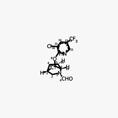 O=CN1C[C@@H]2CC[C@H]1[C@H](Oc1ncc(C(F)(F)F)cc1Cl)C2